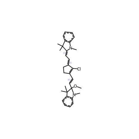 COC1(/C=C/C2=C(Cl)C(=C/C=C3\N(C)c4ccccc4C3(C)C)/CC2)N(C)c2ccccc2C1(C)C